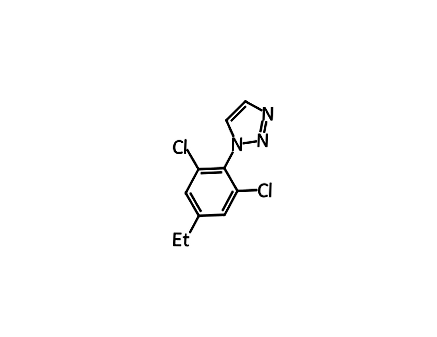 CCc1cc(Cl)c(-n2ccnn2)c(Cl)c1